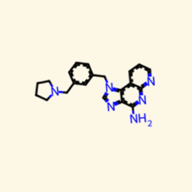 Nc1nc2ncccc2c2c1ncn2Cc1cccc(CN2CCCC2)c1